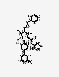 CCOC(=O)C(COCc1ccccc1)N[C@@H](Cc1ccc(-c2cccc(Cl)c2)cc1)C(=O)Nc1nnn[nH]1